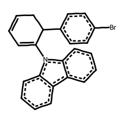 Brc1ccc(C2CC=CC=C2n2c3ccccc3c3ccccc32)cc1